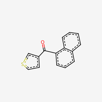 O=C(c1ccsc1)c1cccc2ccccc12